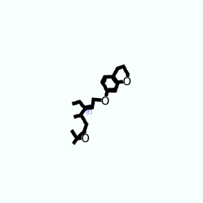 CC/C(=C\COc1ccc2c(c1)OCCC2)C(C)CC1OC1(C)C